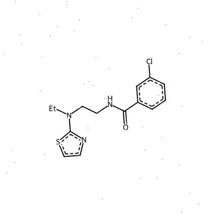 CCN(CCNC(=O)c1cccc(Cl)c1)c1nccs1